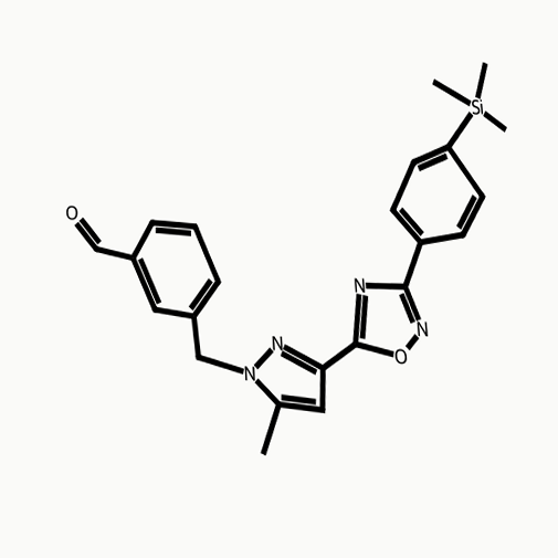 Cc1cc(-c2nc(-c3ccc([Si](C)(C)C)cc3)no2)nn1Cc1cccc(C=O)c1